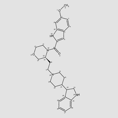 COc1ccc2cc(C(=O)N3CCOC[C@@H]3CCN3CCC(C4CNc5ccccc54)CC3)[nH]c2c1